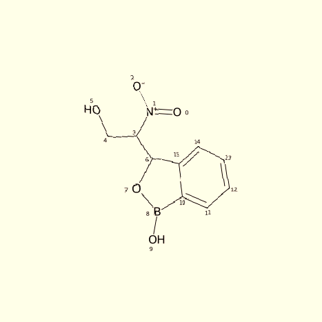 O=[N+]([O-])C(CO)C1OB(O)c2ccccc21